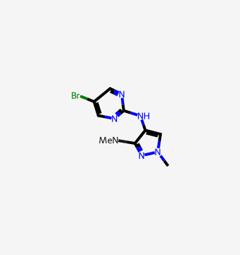 CNc1nn(C)cc1Nc1ncc(Br)cn1